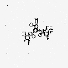 Cc1cc(Cl)c(OC(=O)c2cc(NC(=O)c3cc(F)cc(C(F)(F)F)c3)c3c(c2)C(=O)NC3)cc1F